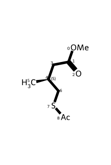 COC(=O)C[C@H](C)CSC(C)=O